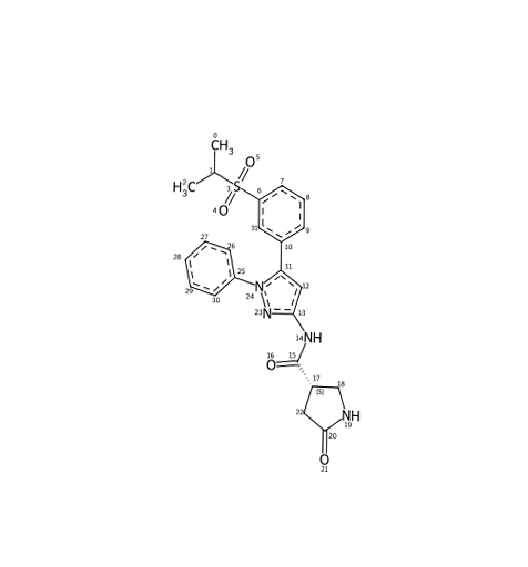 CC(C)S(=O)(=O)c1cccc(-c2cc(NC(=O)[C@@H]3CNC(=O)C3)nn2-c2ccccc2)c1